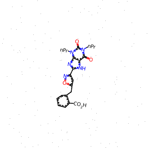 CCCn1c(=O)c2[nH]c(-c3cc(Cc4ccccc4C(=O)O)on3)nc2n(CCC)c1=O